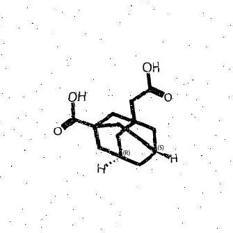 O=C(O)CC12C[C@H]3C[C@@H](C1)CC(C(=O)O)(C3)C2